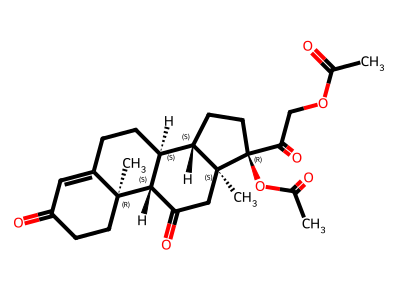 CC(=O)OCC(=O)[C@@]1(OC(C)=O)CC[C@H]2[C@@H]3CCC4=CC(=O)CC[C@]4(C)[C@H]3C(=O)C[C@@]21C